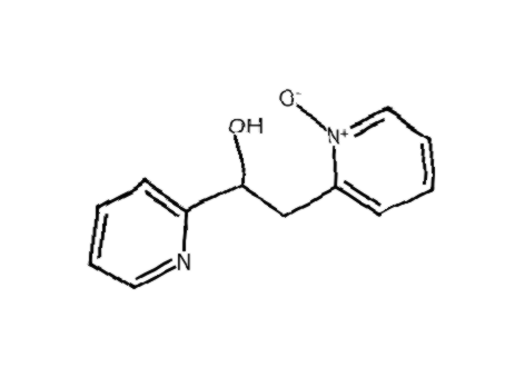 [O-][n+]1ccccc1CC(O)c1ccccn1